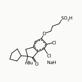 CCCCC1(C2CCCC2)Cc2cc(OCCCS(=O)(=O)O)c(Cl)c(Cl)c2C1=O.[NaH]